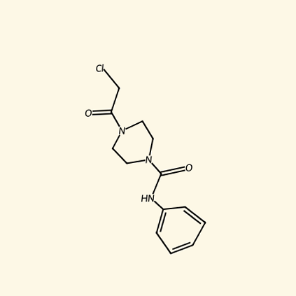 O=C(CCl)N1CCN(C(=O)Nc2ccccc2)CC1